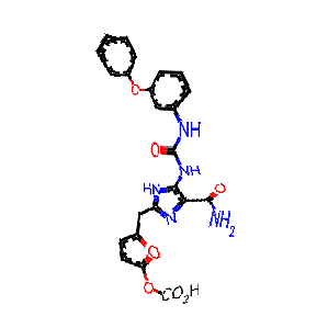 NC(=O)c1nc(Cc2ccc(OC(=O)O)o2)[nH]c1NC(=O)Nc1cccc(Oc2ccccc2)c1